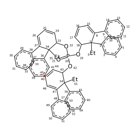 CCC1(c2ccccc2)C(c2ccccc2)=CC=CC1OP(=O)(OC1C=CC=C(c2ccccc2)C1(CC)c1ccccc1)OC1C=CC=C(c2ccccc2)C1(CC)c1ccccc1